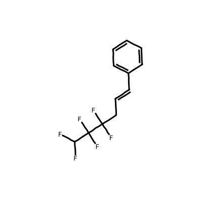 FC(F)C(F)(F)C(F)(F)CC=Cc1ccccc1